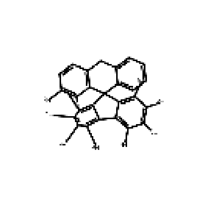 [2H]c1ccc2c(c1[2H])C1(c3ccccc3C2)c2c([2H])c([2H])c([2H])c([2H])c2-c2c([2H])c([2H])c([2H])c([2H])c21